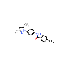 O=C(Nc1ccc(-n2nc(C(F)(F)F)cc2C(F)(F)F)cc1)c1ccc(C(F)(F)F)cc1